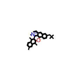 Cc1ccc2c(C)c3c(c(C)c2c1)Oc1c2ccc(CC(C)(C)C)cc2cc2cc[n+](C)c-3c12